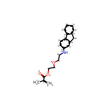 C=C(C)C(=O)OCCOCCNc1ccc2c(c1)Cc1ccccc1-2